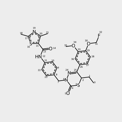 CCC1SC(=O)N(Cc2ccc(NC(=O)c3sc(C)nc3C)cc2)N=C1c1ccc(OCF)c(OC)c1